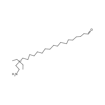 CC[N+](CC)(CCN)CCCCCCCCCCCCCCCCCC=O